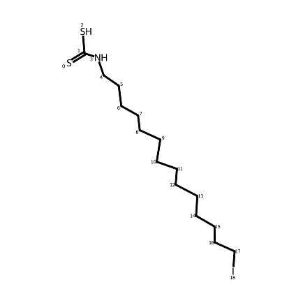 S=C(S)NCCCCCCCCCCCCCCI